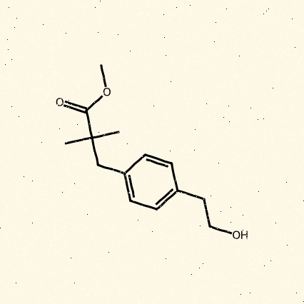 COC(=O)C(C)(C)Cc1ccc(CCO)cc1